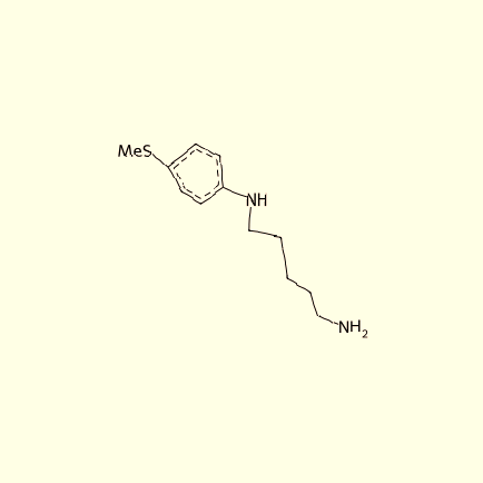 CSc1ccc(NCCCCCN)cc1